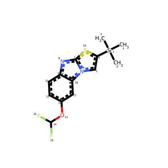 C[Si](C)(C)c1cn2c(nc3ccc(OC(F)F)cc32)s1